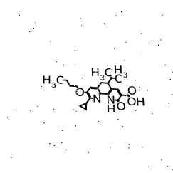 CCCCOc1cc2c(nc1C1CC1)-c1[nH]c(=O)c(C(=O)O)cc1C(C(C)C)C2